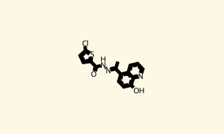 C/C(=N\NC(=O)c1ccc(Cl)s1)c1ccc(O)c2ncccc12